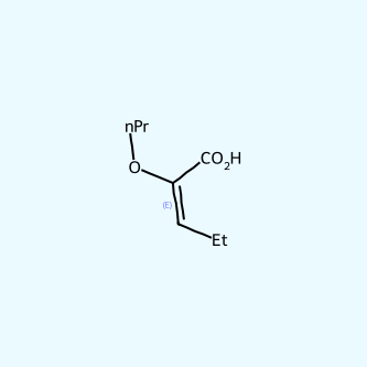 CC/C=C(/OCCC)C(=O)O